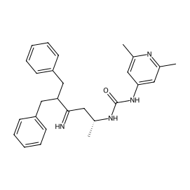 Cc1cc(NC(=O)N[C@H](C)CC(=N)C(Cc2ccccc2)Cc2ccccc2)cc(C)n1